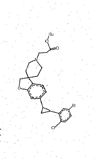 CCc1ccc(Cl)c(C2CC2c2ccc3c(c2)OCC32CCN(CCC(=O)OC(C)(C)C)CC2)c1